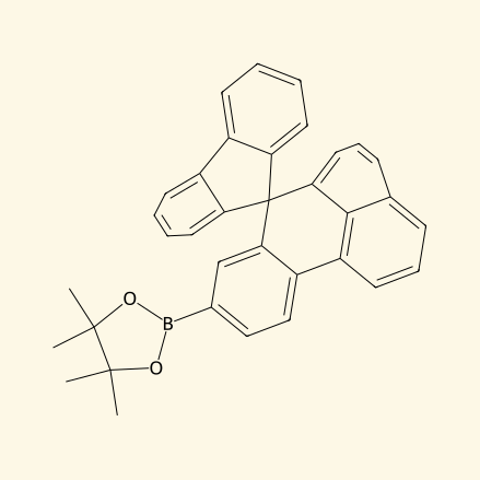 CC1(C)OB(c2ccc3c(c2)C2(c4ccccc4-c4ccccc42)c2cccc4cccc-3c24)OC1(C)C